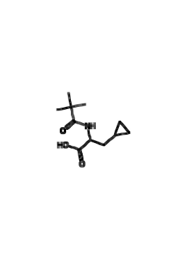 CC(C)(C)C(=O)NC(CC1CC1)C(=O)O